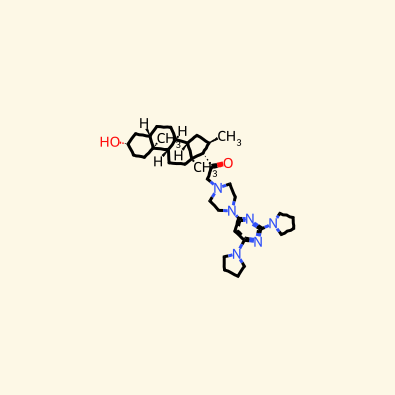 C[C@@H]1C[C@H]2[C@@H]3CC[C@H]4C[C@@H](O)CC[C@]4(C)[C@H]3CC[C@]2(C)[C@H]1C(=O)CN1CCN(c2cc(N3CCCC3)nc(N3CCCC3)n2)CC1